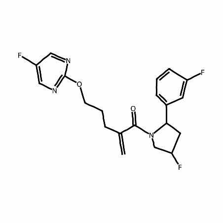 C=C(CCCOc1ncc(F)cn1)C(=O)N1CC(F)CC1c1cccc(F)c1